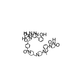 Cc1cc2c(N3CCC(=O)NC3=O)cccc2n1C1CCN(CC2CCN(C(=O)c3ccc([C@@H]4CN(c5cc(-c6ccccc6O)nnc5N)[C@@H]5COC[C@@H]5O4)cc3)CC2)CC1